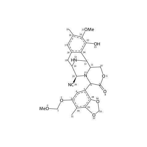 COCOc1cc(C2C(=O)OCC3C4NC(Cc5cc(C)c(OC)c(O)c54)[C@H](C#N)N23)c2c(c1C)OCO2